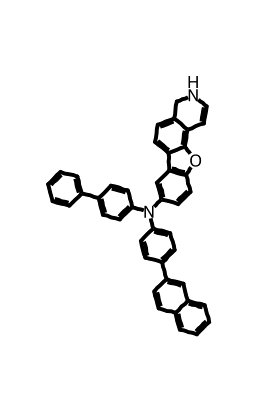 C1=Cc2c(ccc3c2oc2ccc(N(c4ccc(-c5ccccc5)cc4)c4ccc(-c5ccc6ccccc6c5)cc4)cc23)CN1